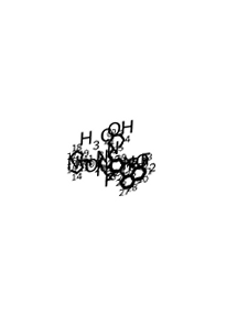 C[C@@]1(O)CCCN(c2nc(OCC34CCCN3CCC4)nc3c(F)c(-c4cccc5ccc(F)c(F)c45)c([N+](=O)[O-])cc23)C1